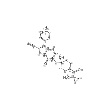 C/C=C\C(=C/C)n1c(C#N)cc2c(=O)n(CC3(O)CCN(C(=O)C4(C)CC4)CC3)cnc21